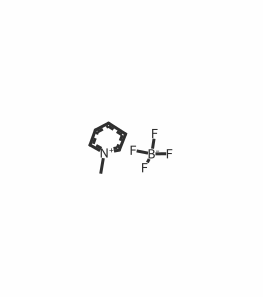 C[n+]1ccccc1.F[B-](F)(F)F